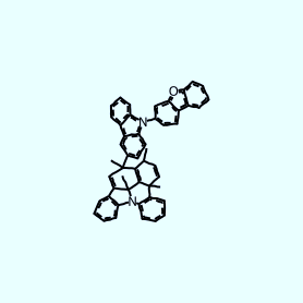 CC1C=CC2(C)C3=C1C(C)(c1ccc4c(c1)c1ccccc1n4-c1ccc4c(c1)oc1ccccc14)C=C1c4ccccc4N(c4ccccc42)C13C